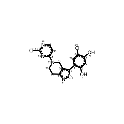 Oc1cc(O)c(-c2onc3c2CN(c2ccnc(Cl)n2)CC3)cc1Cl